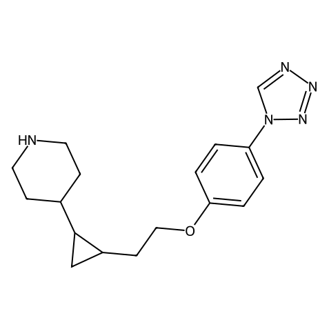 c1cc(-n2cnnn2)ccc1OCCC1CC1C1CCNCC1